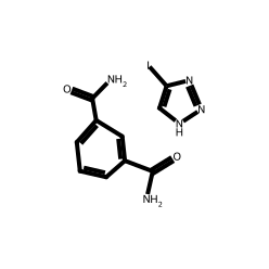 Ic1c[nH]nn1.NC(=O)c1cccc(C(N)=O)c1